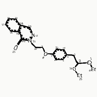 CCOC(Cc1ccc(OCCn2ncc3ccccc3c2=O)cc1)OCC